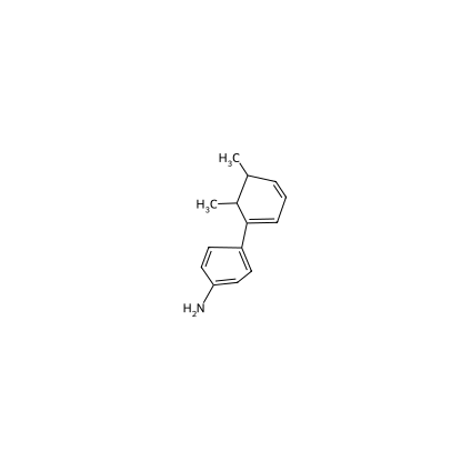 CC1C=CC=C(c2ccc(N)cc2)C1C